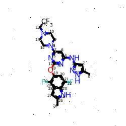 Cc1cc(Nc2cc(N3CCN(CC(F)(F)F)CC3)nc(Oc3cc(F)c4[nH]c(C)cc4c3F)n2)n[nH]1